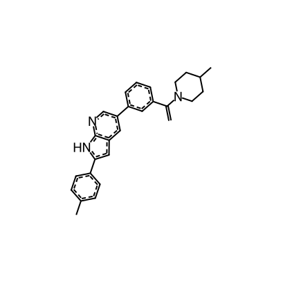 C=C(c1cccc(-c2cnc3[nH]c(-c4ccc(C)cc4)cc3c2)c1)N1CCC(C)CC1